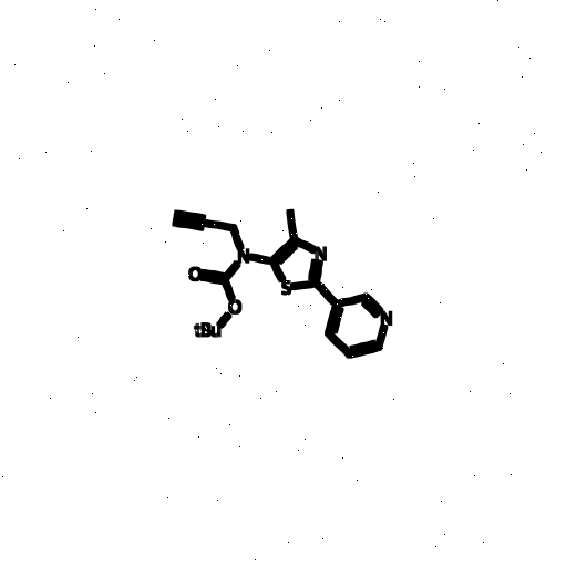 C#CCN(C(=O)OC(C)(C)C)c1sc(-c2cccnc2)nc1C